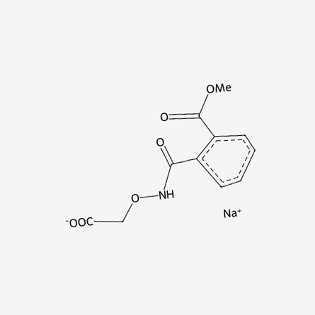 COC(=O)c1ccccc1C(=O)NOCC(=O)[O-].[Na+]